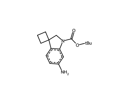 CC(C)(C)OC(=O)N1CC2(CCC2)c2ccc(N)cc21